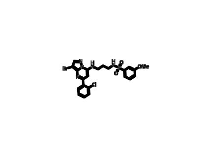 COc1cccc(S(=O)(=O)NCCCNc2cc(-c3ccccc3Cl)nc3c(Br)cnn23)c1